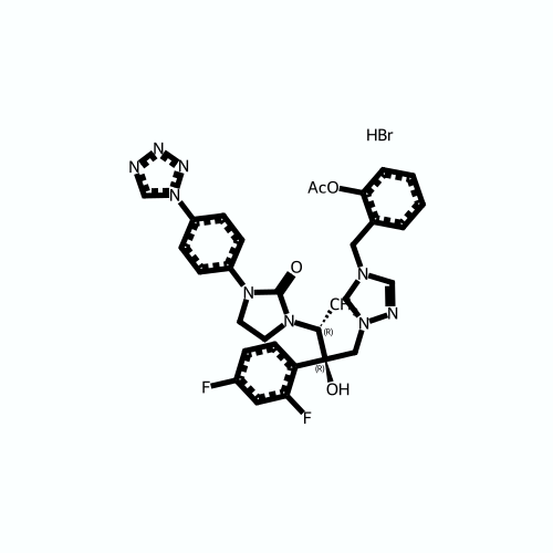 Br.CC(=O)Oc1ccccc1CN1C=NN(C[C@](O)(c2ccc(F)cc2F)[C@@H](C)N2CCN(c3ccc(-n4cnnn4)cc3)C2=O)C1